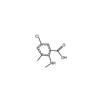 CNc1c(C)cc(Cl)cc1C(=O)O